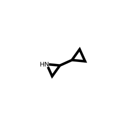 C1CC1C1CN1